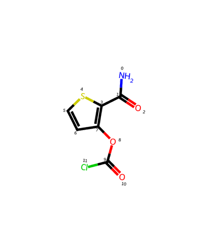 NC(=O)c1sccc1OC(=O)Cl